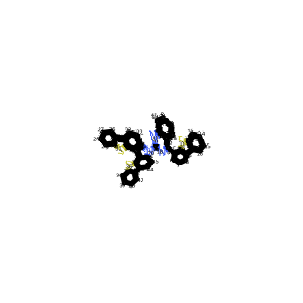 c1ccc2c(-c3cccc4c3sc3ccccc34)nc(-n3c4ccc5c6ccccc6sc5c4c4c5sc6ccccc6c5ccc43)nc2c1